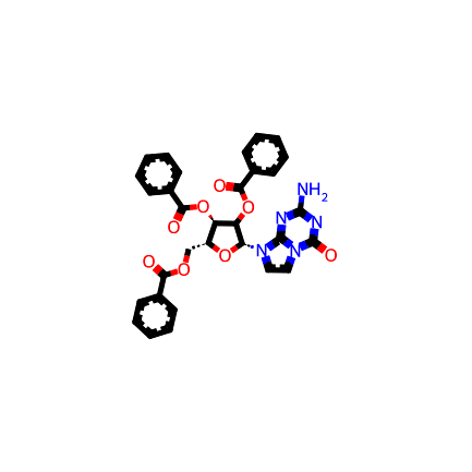 Nc1nc(=O)n2ccn([C@@H]3O[C@H](COC(=O)c4ccccc4)[C@H](OC(=O)c4ccccc4)C3OC(=O)c3ccccc3)c2n1